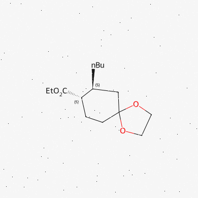 CCCC[C@H]1CC2(CC[C@@H]1C(=O)OCC)OCCO2